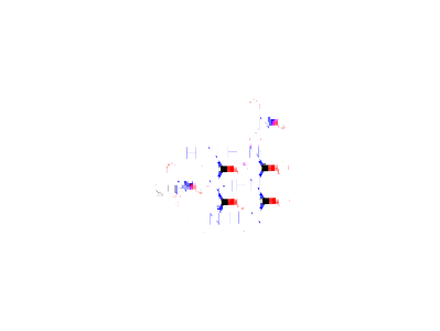 NC(=O)NC(N)=O.NC(=O)NC(N)=O.O=[N+]([O-])[O-].O=[N+]([O-])[O-].[Cu+2]